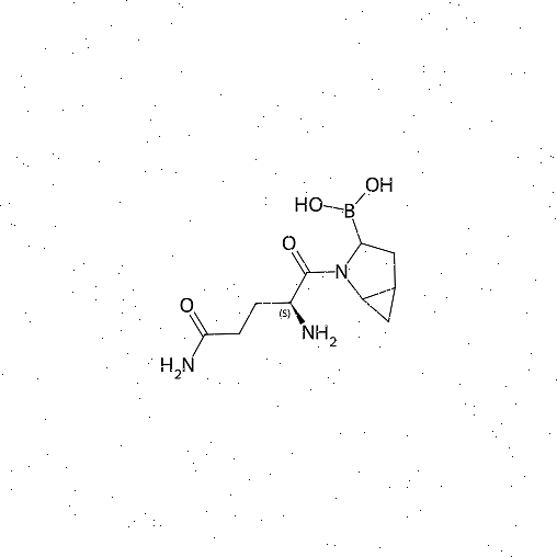 NC(=O)CC[C@H](N)C(=O)N1C(B(O)O)CC2CC21